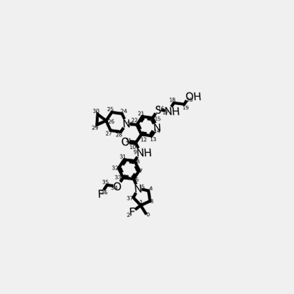 CC1(F)CCN(c2cc(NC(=O)c3cnc(SNCCO)cc3N3CCC4(CC3)CC4)ccc2OCF)C1